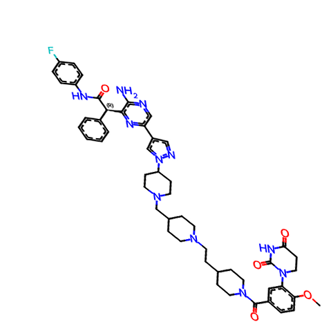 COc1ccc(C(=O)N2CCC(CCN3CCC(CN4CCC(n5cc(-c6cnc(N)c([C@H](C(=O)Nc7ccc(F)cc7)c7ccccc7)n6)cn5)CC4)CC3)CC2)cc1N1CCC(=O)NC1=O